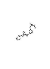 NCCC1CCCC(CCNC(=O)OCc2ccccc2)C1